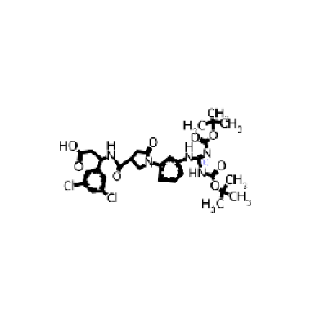 CC(C)(C)OC(=O)/N=C(/NC(=O)OC(C)(C)C)Nc1cccc(N2CC(C(=O)NC(CC(=O)O)c3cc(Cl)cc(Cl)c3)CC2=O)c1